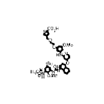 COc1cc(Nc2cc(Oc3ccc(NC(=O)Nc4cc(C(C)(C)C)cc(NS(C)(=O)=O)c4OC)c4ccccc34)ccn2)cc(OCCOCc2csc(C(=O)O)c2)c1